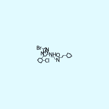 CN(CCCNc1cc(-c2ccccc2Cl)nc2c(Br)cnn12)C(=O)/C=C/c1ccccc1